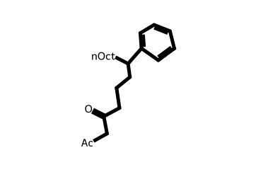 CCCCCCCCC(CCCC(=O)CC(C)=O)c1ccccc1